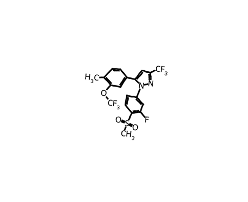 Cc1ccc(-c2cc(C(F)(F)F)nn2-c2ccc(S(C)(=O)=O)c(F)c2)cc1OC(F)(F)F